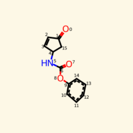 O=C1C=CC(NC(=O)Oc2ccccc2)C1